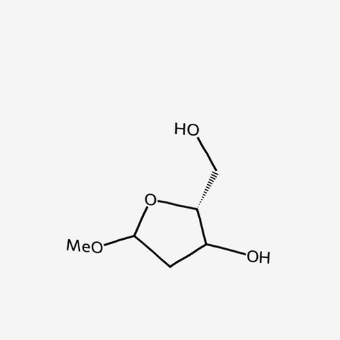 COC1CC(O)[C@@H](CO)O1